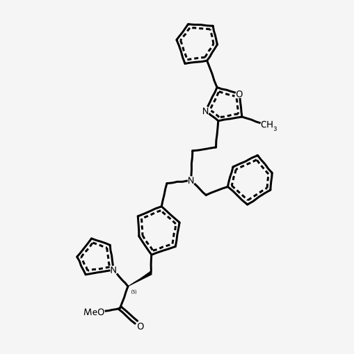 COC(=O)[C@H](Cc1ccc(CN(CCc2nc(-c3ccccc3)oc2C)Cc2ccccc2)cc1)n1cccc1